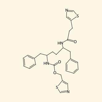 O=C(CCc1cncs1)NC(CCC(Cc1ccccc1)NC(=O)OCc1cncs1)Cc1ccccc1